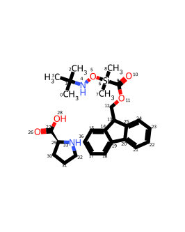 CC(C)(C)NO[Si](C)(C)C(=O)OCC1c2ccccc2-c2ccccc21.O=C(O)[C@@H]1CCCN1